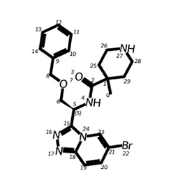 CC1(C(=O)N[C@H](COCc2ccccc2)c2nnc3ccc(Br)cn23)CCNCC1